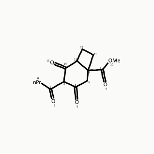 CCCC(=O)C1C(=O)CC2(C(=O)OC)CCC2C1=O